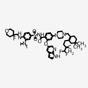 C=C(CCC1=C(CN2CCN(c3ccc(C(=O)NS(=O)(=O)c4ccc(NCC5(F)CCOCC5)c(N(I)I)c4)c(Oc4cnc5[nH]ccc5c4)c3)CC2)CCC(C)(C)C1)C(F)F